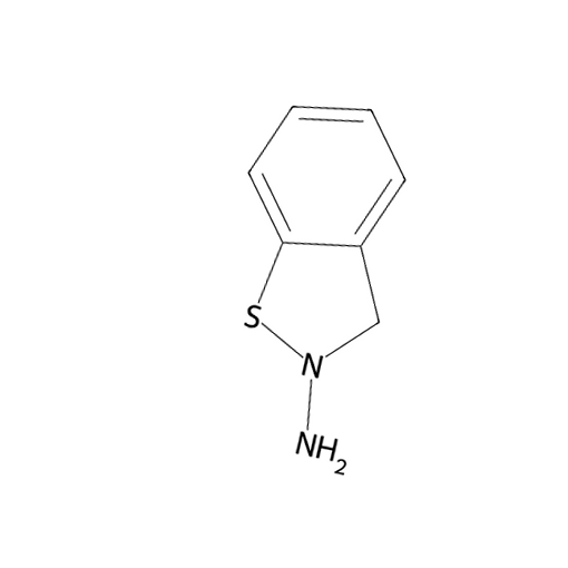 NN1Cc2ccccc2S1